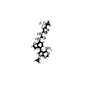 Nc1ncnc2c1c(-c1ccc(NC(=O)Nc3cc(C4(C(F)(F)F)CC4)no3)c3occc13)cn2C1CC1